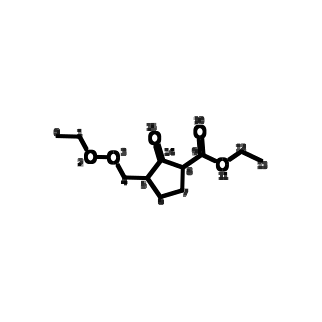 CCOOCC1CCC(C(=O)OCC)C1=O